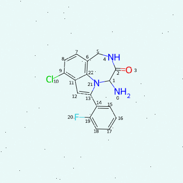 NC1C(=O)NCc2ccc(Cl)c3cc(-c4ccccc4F)n1c23